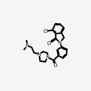 CN(C)CCN1CCN(C(=O)c2cccc(N3Cc4cccc(Cl)c4C3=O)c2)CC1